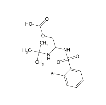 CC(C)(C)NC(COC(=O)O)NS(=O)(=O)c1ccccc1Br